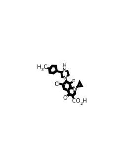 Cc1ccc(C2CN(c3c(Cl)cc4c(=O)c(C(=O)O)cn(C5CC5)c4c3F)CCN2)cc1